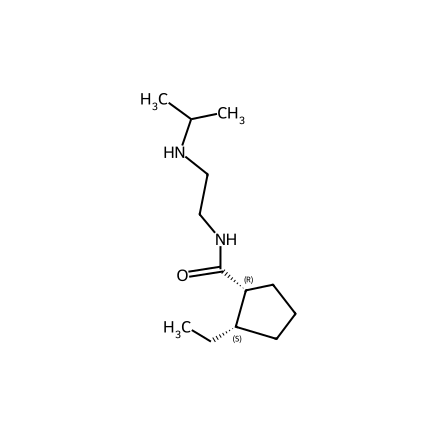 CC[C@H]1CCC[C@H]1C(=O)NCCNC(C)C